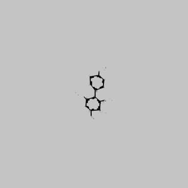 CSc1ccc(-c2c(C#N)cc(O)c(O)c2C#N)cc1